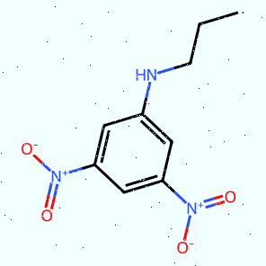 [CH2]CCNc1cc([N+](=O)[O-])cc([N+](=O)[O-])c1